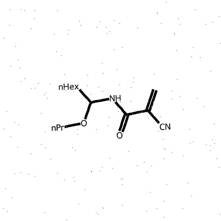 C=C(C#N)C(=O)NC(CCCCCC)OCCC